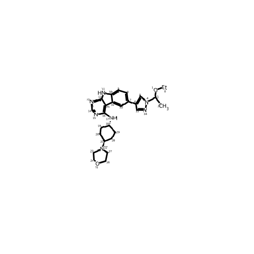 CCOC(C)n1cc(-c2ccc3[nH]c4ncnc(N[C@H]5CC[C@H](N6CCOCC6)CC5)c4c3c2)cn1